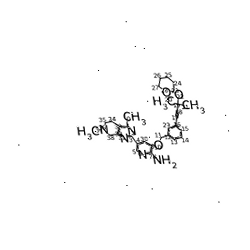 Cc1nc(-c2cnc(N)c(OCc3cccc(C#CC(C)(C)OC4CCCCO4)c3)c2)nc2c1CCN(C)C2